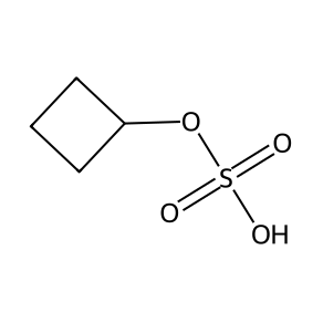 O=S(=O)(O)OC1CCC1